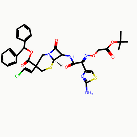 CC(C)(C)OC(=O)CON=C(C(=O)NC1C(=O)N2CC(C=CCl)(C(=O)OC(c3ccccc3)c3ccccc3)CS[C@H]12)c1csc(N)n1